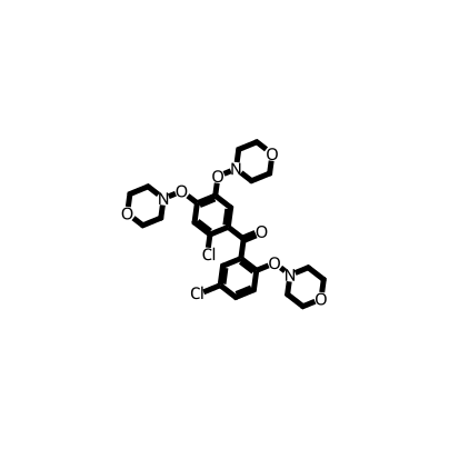 O=C(c1cc(ON2CCOCC2)c(ON2CCOCC2)cc1Cl)c1cc(Cl)ccc1ON1CCOCC1